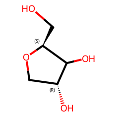 OC[C@@H]1OC[C@@H](O)[C]1O